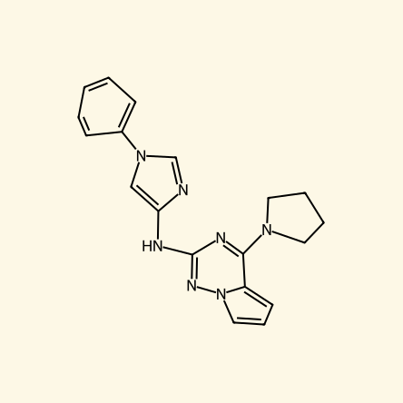 c1ccc(-n2cnc(Nc3nc(N4CCCC4)c4cccn4n3)c2)cc1